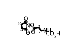 O=C(O)NCCC(=O)ON1C(=O)CCC1=O